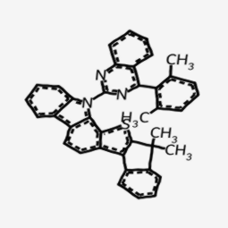 Cc1cccc(C)c1-c1nc(-n2c3ccccc3c3ccc4c5c(sc4c32)C(C)(C)c2ccccc2-5)nc2ccccc12